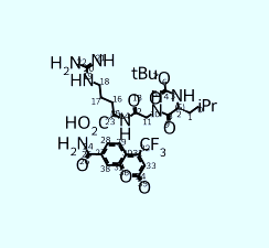 CC(C)C[C@H](NC(=O)OC(C)(C)C)C(=O)NCC(=O)N[C@@H](CCCNC(=N)N)C(=O)O.NC(=O)c1ccc2c(C(F)(F)F)cc(=O)oc2c1